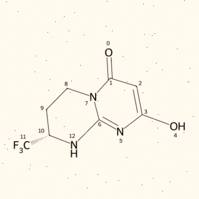 O=c1cc(O)nc2n1CC[C@@H](C(F)(F)F)N2